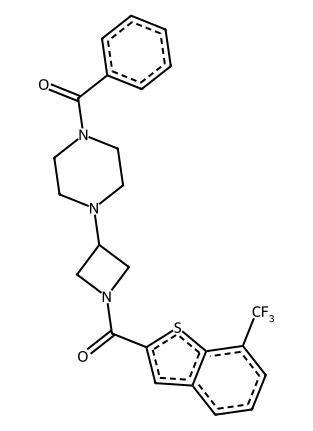 O=C(c1ccccc1)N1CCN(C2CN(C(=O)c3cc4cccc(C(F)(F)F)c4s3)C2)CC1